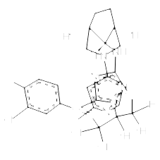 [2H]C([2H])([2H])C([2H])(n1nc(N[C@@H]2[C@@H]3CC[C@H]2CN(c2cc(C)ncn2)C3)nc1Oc1ccc(F)c(Cl)c1)C([2H])([2H])[2H]